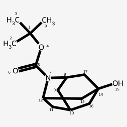 CC(C)(C)OC(=O)N1C2CC3CC1CC(O)(C3)C2